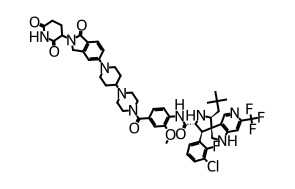 COc1cc(C(=O)N2CCN(C3CCN(c4ccc5c(c4)CN(C4CCC(=O)NC4=O)C5=O)CC3)CC2)ccc1NC(=O)[C@@H]1N[C@@H](CC(C)(C)C)[C@@]2(CNc3cc(C(F)(F)F)ncc32)[C@H]1c1cccc(Cl)c1F